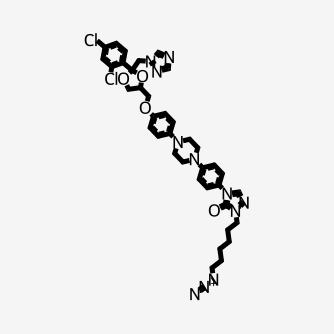 [N-]=[N+]=NCCCCCCn1ncn(-c2ccc(N3CCN(c4ccc(OCC5COC(Cn6cncn6)(c6ccc(Cl)cc6Cl)O5)cc4)CC3)cc2)c1=O